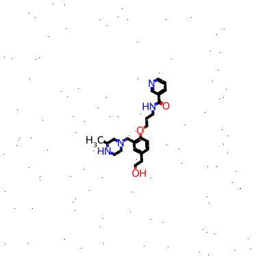 CC1CN(Cc2cc(CCO)ccc2OCCCNC(=O)c2cccnc2)CCN1